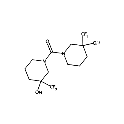 O=C(N1CCCC(O)(C(F)(F)F)C1)N1CCCC(O)(C(F)(F)F)C1